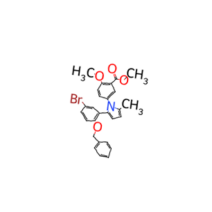 COC(=O)c1cc(-n2c(C)ccc2-c2cc(Br)ccc2OCc2ccccc2)ccc1OC